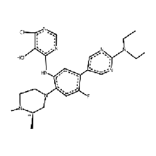 CCN(CC)c1ncc(-c2cc(Nc3ncnc(Cl)c3O)c(N3CCN(C)[C@H](C)C3)cc2F)cn1